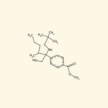 CCCC(C)C(CO)(NSC(C)(C)C)c1ccc(C(=O)OC)cc1